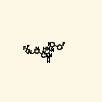 Fc1cccc(-c2ccnc3[nH]c(-c4n[nH]c5ccc(-c6cncc(CN7CCC(F)(F)C7)c6)nc45)nc23)c1